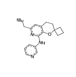 CC(C)(C)Cc1cc2c(c(Nc3cccnc3)n1)OC1(CCC1)CC2